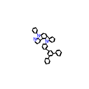 c1ccc(-c2cc(-c3ccccc3)cc(-c3cccc(-n4c5ccccc5c5ccc6c(c7cccnc7n6-c6ccccc6)c54)c3)c2)cc1